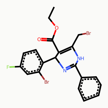 CCOC(=O)C1=C(CBr)NC(c2ccccc2)=NC1c1ccc(F)cc1Br